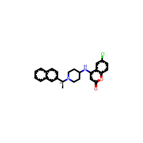 C[C@@H](c1ccc2ccccc2c1)N1CCC(Nc2cc(=O)oc3ccc(Cl)cc23)CC1